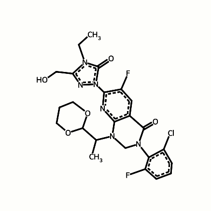 CCn1c(CO)nn(-c2nc3c(cc2F)C(=O)N(c2c(F)cccc2Cl)CN3C(C)C2OCCCO2)c1=O